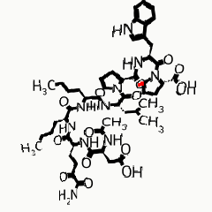 CCCC[C@H](NC(=O)[C@H](CCC(=O)C(N)=O)NC(=O)[C@H](CC(=O)O)NC(C)=O)C(=O)N[C@@H](CCCC)C(=O)N[C@@H](CC(C)C)C(=O)N1CCC[C@H]1C(=O)N[C@@H](Cc1c[nH]c2ccccc12)C(=O)N1CCC[C@H]1C(=O)O